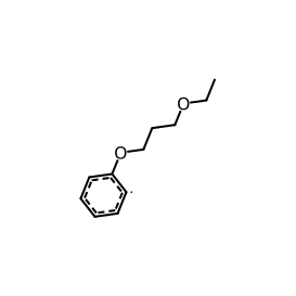 CCOCCCOc1[c]cccc1